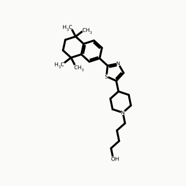 CC1(C)CCC(C)(C)c2cc(-c3ncc(C4CCN(CCCCO)CC4)s3)ccc21